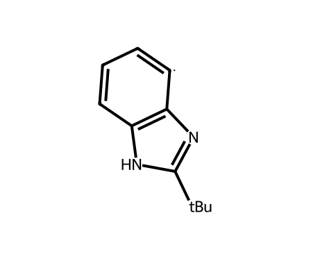 CC(C)(C)c1nc2[c]cccc2[nH]1